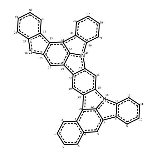 c1ccc2c(c1)cc1c3ccccc3n3c4cc5c(cc4c2c13)c1cc2oc3ccccc3c2c2c3ccccc3n5c12